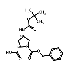 CC(C)(C)OC(=O)N[C@H]1C[C@@H](C(=O)O)N(C(=O)OCc2ccccc2)C1